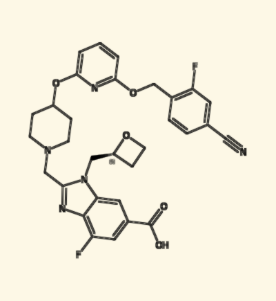 N#Cc1ccc(COc2cccc(OC3CCN(Cc4nc5c(F)cc(C(=O)O)cc5n4C[C@@H]4CCO4)CC3)n2)c(F)c1